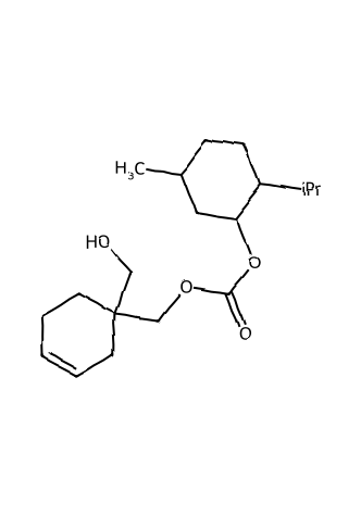 CC1CCC(C(C)C)C(OC(=O)OCC2(CO)CC=CCC2)C1